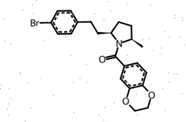 C[C@@H]1CC[C@H](CCc2ccc(Br)cc2)N1C(=O)c1ccc2c(c1)OCCO2